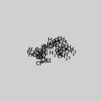 CC(C)(C)OC(=O)N(CCN(C(=O)OC(C)(C)C)c1ccc(-n2ccc3cc(N(C(C(=O)O)C(C)(C)C)S(=O)(=O)c4cc(Cl)cc(Cl)c4)ccc32)nn1)C(=O)OC(C)(C)C